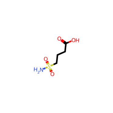 NS(=O)(=O)CCCC(=O)O